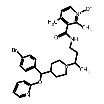 Cc1cc[n+]([O-])c(C)c1C(=O)NCCC(C)N1CCC(C(Oc2ccccn2)c2ccc(Br)cc2)CC1